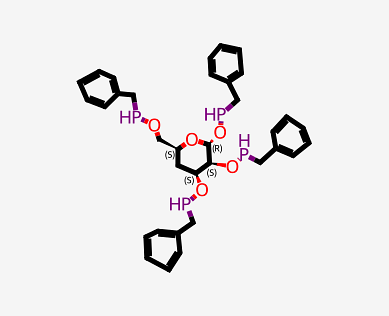 c1ccc(CPOC[C@@H]2C[C@H](OPCc3ccccc3)[C@H](OPCc3ccccc3)[C@@H](OPCc3ccccc3)O2)cc1